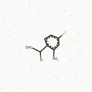 O=CC(Br)c1ccc(F)cc1[N+](=O)[O-]